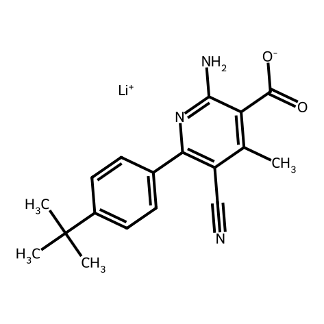 Cc1c(C#N)c(-c2ccc(C(C)(C)C)cc2)nc(N)c1C(=O)[O-].[Li+]